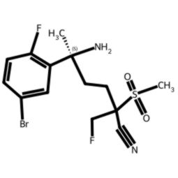 C[C@](N)(CCC(C#N)(CF)S(C)(=O)=O)c1cc(Br)ccc1F